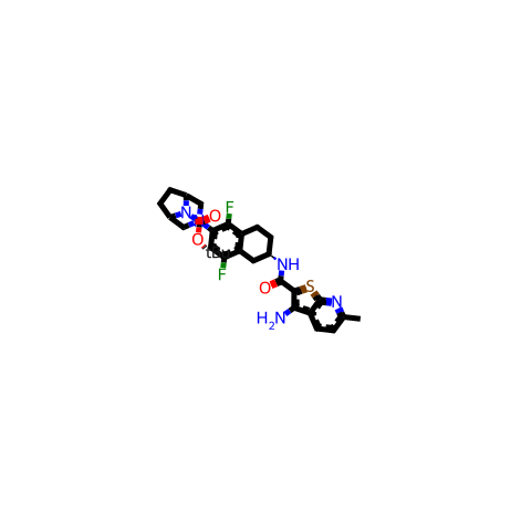 Cc1ccc2c(N)c(C(=O)N[C@H]3CCc4c(F)c(N5CC6CCC(C5)N6C(=O)OC(C)(C)C)cc(F)c4C3)sc2n1